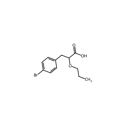 CCCOC(Cc1ccc(Br)cc1)C(=O)O